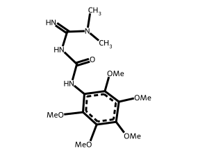 COc1c(NC(=O)NC(=N)N(C)C)c(OC)c(OC)c(OC)c1OC